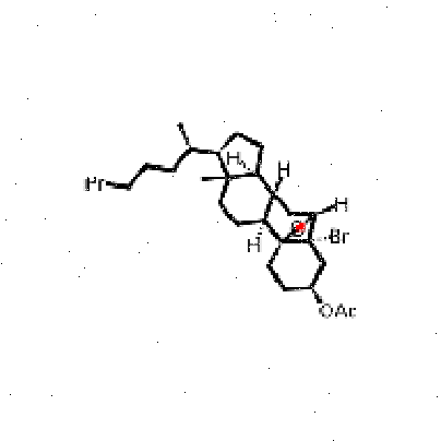 CC(=O)O[C@H]1CC[C@]23CO[C@H](C[C@H]4[C@@H]5CC[C@H]([C@H](C)CCCC(C)C)[C@@]5(C)CC[C@@H]42)[C@@]3(Br)C1